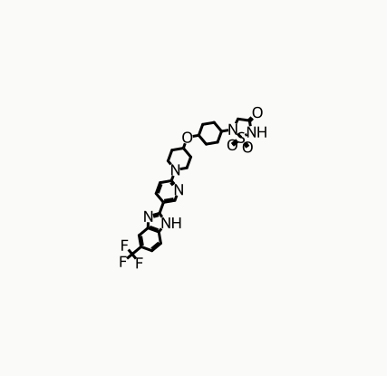 O=C1CN(C2CCC(OC3CCN(c4ccc(-c5nc6cc(C(F)(F)F)ccc6[nH]5)cn4)CC3)CC2)S(=O)(=O)N1